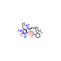 CCC/C=C(/Nc1c(C)[nH]c(=S)[nH]c1=O)SCC(=O)C1CCCCC1C